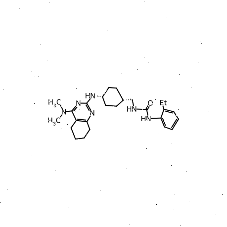 CCc1ccccc1NC(=O)NC[C@H]1CC[C@@H](Nc2nc3c(c(N(C)C)n2)CCCC3)CC1